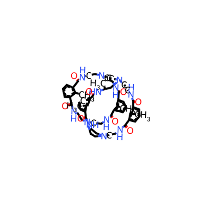 Cc1c2cccc1C(=O)NCCN1CCNC(=O)c3cccc(c3C)C(=O)NCCN(CCNC2=O)CCN2CCNC(=O)c3cccc(c3C)C(=O)NCCN(CC1)CC(C)NC(=O)c1cccc(c1C)C(=O)NCC2